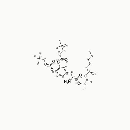 CCCCCC(=O)OC(C)[C@H](C)OC(=O)[C@@H](N)Cc1ccc(OC(=O)OCC(C)(C)C)c(OC(=O)OCC(C)(C)C)c1